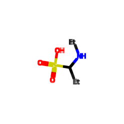 CCNC(CC)S(=O)(=O)O